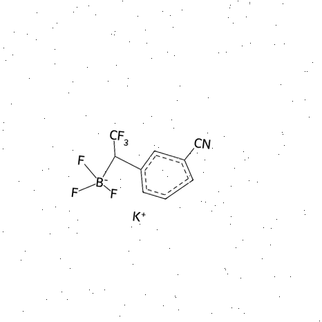 N#Cc1cccc(C([B-](F)(F)F)C(F)(F)F)c1.[K+]